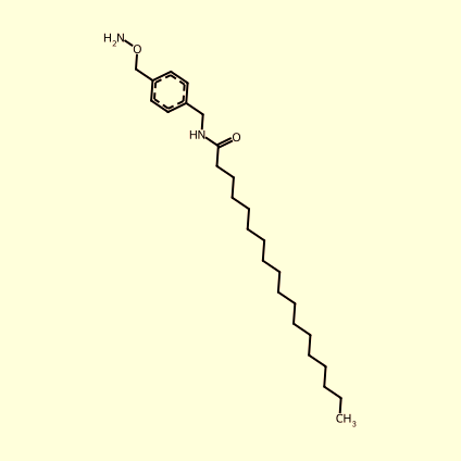 CCCCCCCCCCCCCCCCCC(=O)NCc1ccc(CON)cc1